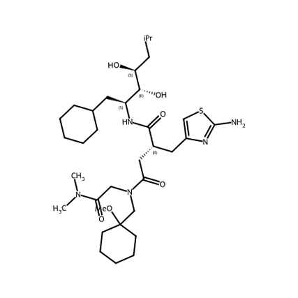 COC1(CN(CC(=O)N(C)C)C(=O)C[C@@H](Cc2csc(N)n2)C(=O)N[C@@H](CC2CCCCC2)[C@@H](O)[C@@H](O)CC(C)C)CCCCC1